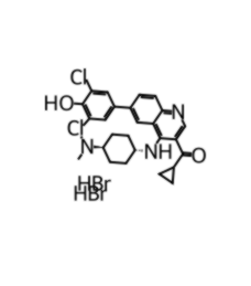 Br.Br.CN(C)[C@H]1CC[C@H](Nc2c(C(=O)C3CC3)cnc3ccc(-c4cc(Cl)c(O)c(Cl)c4)cc23)CC1